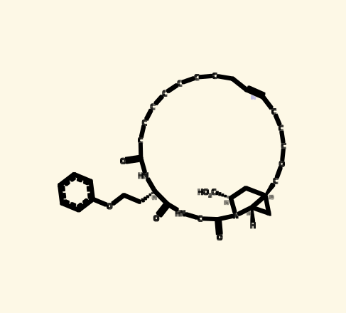 O=C1CCCCCCCC/C=C/CCCOC[C@@]23C[C@@H]2N(C(=O)CNC(=O)[C@H](CCOc2ccccc2)N1)[C@H](C(=O)O)C3